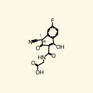 C[C@@]1(C#N)C(=O)C(C(=O)NCC(=O)O)=C(O)c2ccc(F)cc21